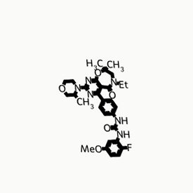 CCN1CC(C)(C)Oc2nc(N3CCOCC3C)nc(-c3ccc(NC(=O)Nc4cc(OC)ccc4F)cc3)c2C1=O